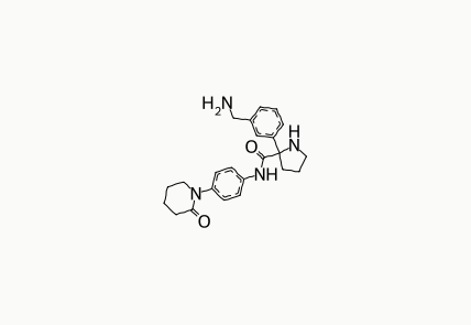 NCc1cccc(C2(C(=O)Nc3ccc(N4CCCCC4=O)cc3)CCCN2)c1